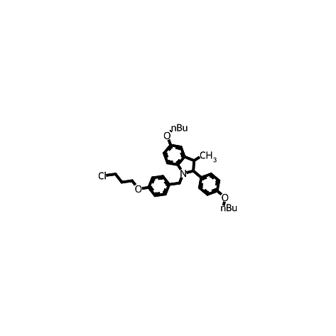 CCCCOc1ccc(C2C(C)c3cc(OCCCC)ccc3N2Cc2ccc(OCCCCl)cc2)cc1